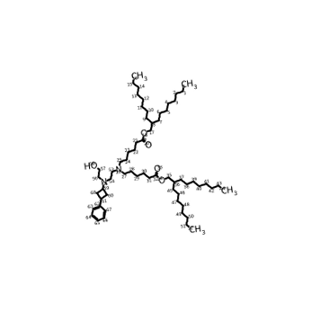 CCCCCCCCC(CCCCCCCC)COC(=O)CCCCCN(CCCCCC(=O)OCC(CCCCCCCC)CCCCCCCC)CCN(CCO)C1CC(c2ccccc2)C1